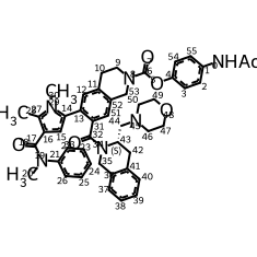 CC(=O)Nc1ccc(OC(=O)N2CCc3cc(-c4cc(C(=O)N(C)c5ccccc5)c(C)n4C)c(C(=O)N4Cc5ccccc5C[C@H]4CN4CCOCC4)cc3C2)cc1